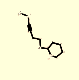 CC(C)SC#CCCOC1CCCCO1